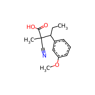 CCC(c1cccc(OC)c1)C(C)(C#N)C(=O)O